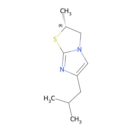 CC(C)Cc1cn2c(n1)S[C@H](C)C2